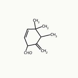 C=C1C(C=O)C=CC(C)(C)C1C